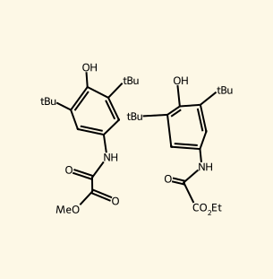 CCOC(=O)C(=O)Nc1cc(C(C)(C)C)c(O)c(C(C)(C)C)c1.COC(=O)C(=O)Nc1cc(C(C)(C)C)c(O)c(C(C)(C)C)c1